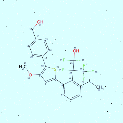 CCc1cccc(-c2cc(OC)c(-c3ccc(CO)cc3)s2)c1C(F)(C(O)(F)F)C(F)(F)F